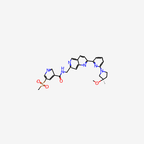 CO[C@]1(C)CCN(c2cccc(-c3ccc4cnc(CNC(=O)c5cncc(S(C)(=O)=O)c5)cc4n3)n2)C1